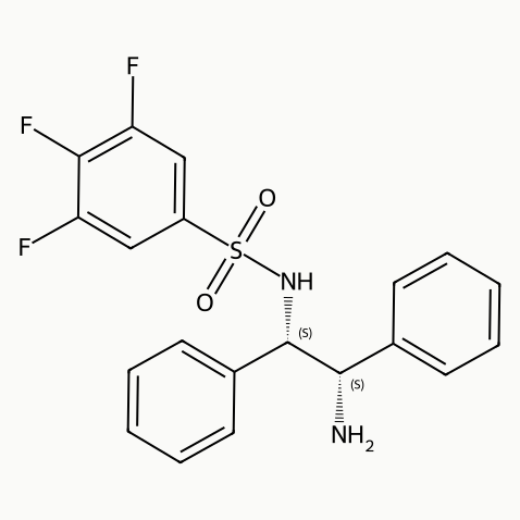 N[C@@H](c1ccccc1)[C@@H](NS(=O)(=O)c1cc(F)c(F)c(F)c1)c1ccccc1